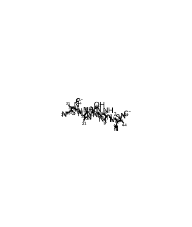 [C-]#[N+]c1sc(N=Nc2c(C)nn(-c3nc(O)nc(-n4nc(C)c(N=Nc5sc(C#N)c(C)c5[N+]#[C-])c4N)n3)c2N)c(C#N)c1C